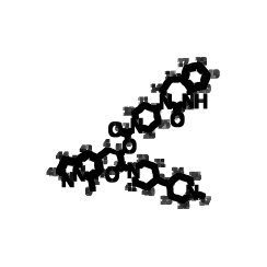 Cc1cc(C[C@@H](OC(=O)N2CCC(N3CCc4ccccc4NC3=O)CC2)C(=O)N2CCC(C3CCN(C)CC3)CC2)cc2ccnn12